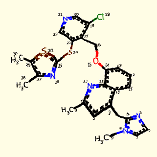 Cc1cc(-c2nccn2C)c2cccc(OCc3c(Cl)cncc3Sc3nc(C)c(C)s3)c2n1